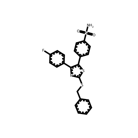 NS(=O)(=O)c1ccc(-c2sc(SCc3ccccc3)nc2-c2ccc(F)cc2)cc1